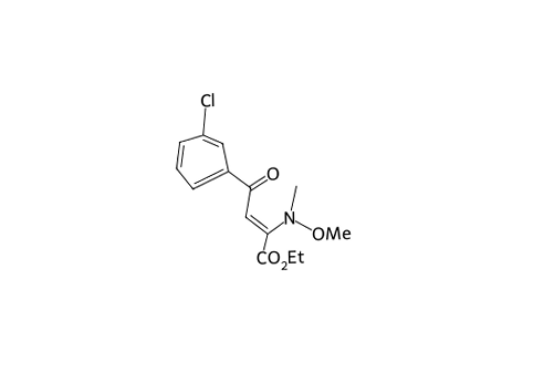 CCOC(=O)/C(=C/C(=O)c1cccc(Cl)c1)N(C)OC